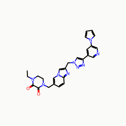 CCN1CCN(Cc2ccc3nc(Cn4cc(-c5cncc(-n6cccc6)c5)nn4)cn3c2)C(=O)C1=O